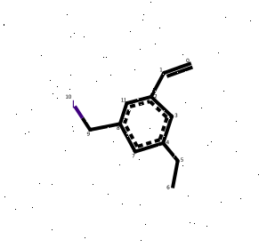 C=Cc1cc(CC)cc(CI)c1